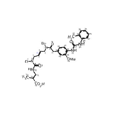 CCN(C/C=C/CN(CC)C(=O)NCC(C)C(=O)O)C(=O)Cc1ccc(NC(=O)Nc2ccccc2C)c(OC)c1